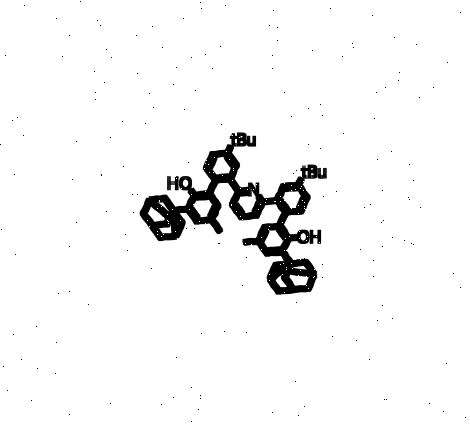 Cc1cc(-c2ccc(C(C)(C)C)cc2-c2cccc(-c3cc(C(C)(C)C)ccc3-c3cc(C)cc(C45CC6CC(CC(C6)C4)C5)c3O)n2)c(O)c(C23CC4CC(CC(C4)C2)C3)c1